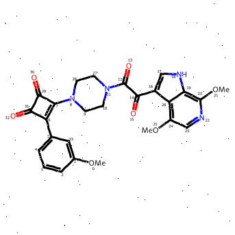 COc1cccc(-c2c(N3CCN(C(=O)C(=O)c4c[nH]c5c(OC)ncc(OC)c45)CC3)c(=O)c2=O)c1